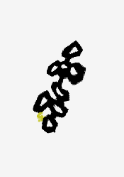 c1ccc(-c2c3ccccc3c(-c3ccc(-c4ccc5c6c(cccc46)Sc4ccccc4-5)cc3)c3ccccc23)cc1